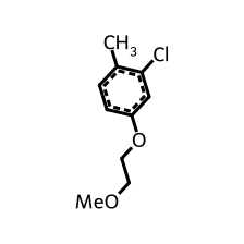 COCCOc1ccc(C)c(Cl)c1